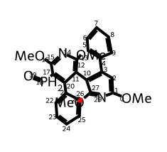 COc1cc(-c2ccccc2)c(-c2c(OC)nc(OC)c([PH2]=O)c2-c2ccccc2)c(OC)n1